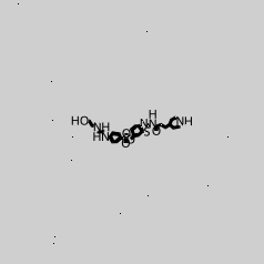 O=C(CCC1CCNCC1)Nc1nc2ccc(OS(=O)(=O)c3ccc(NCCNCCO)cc3)cc2s1